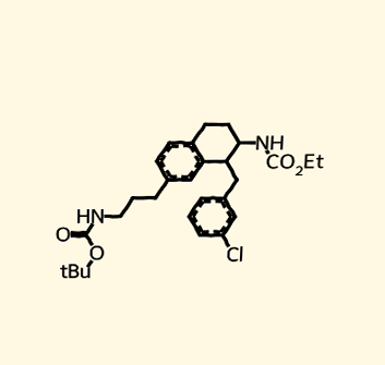 CCOC(=O)NC1CCc2ccc(CCCNC(=O)OC(C)(C)C)cc2C1Cc1cccc(Cl)c1